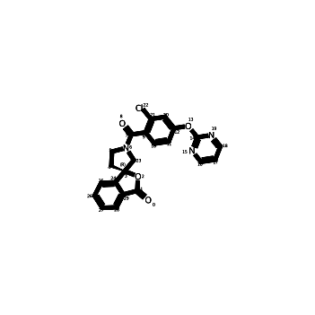 O=C1O[C@]2(CCN(C(=O)c3ccc(Oc4ncccn4)cc3Cl)C2)c2ccccc21